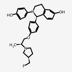 C[C@@H](COc1ccc([C@@H]2c3ccc(O)cc3CCN2c2ccc(O)cc2)cc1)N1CC[C@@H](CF)C1